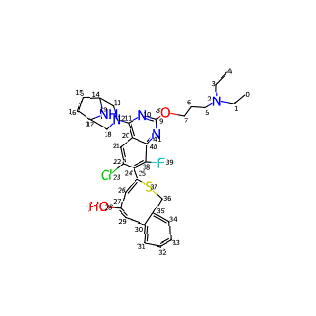 CCN(CC)CCCOc1nc(N2CC3CCC(C2)N3)c2cc(Cl)c(/C3=C/C(O)=C\c4ccccc4CS3)c(F)c2n1